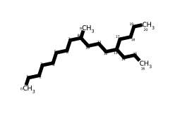 CCCCCCCCC(C)CCCC(CCC)CCCC